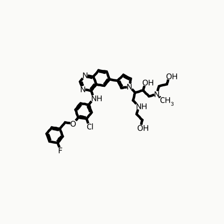 CN(CCO)CC(O)C(CNCCO)n1ccc(-c2ccc3ncnc(Nc4ccc(OCc5cccc(F)c5)c(Cl)c4)c3c2)c1